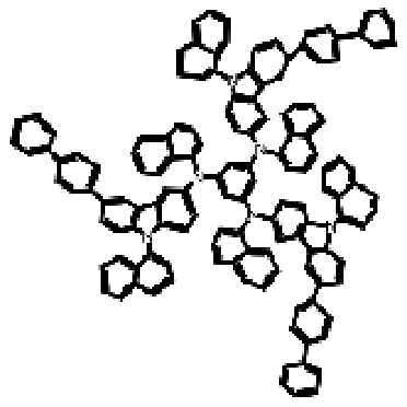 C1=CC2C(C=C1c1ccc(-c3ccccc3)cc1)c1cc(N(c3cc(N(c4ccc5c(c4)c4c(n5-c5cccc6ccccc56)C=CC(c5ccc(-c6ccccc6)cc5)C4)c4cccc5ccccc45)cc(N(c4ccc5c(c4)c4cc(-c6ccc(-c7ccccc7)cc6)ccc4n5-c4cccc5ccccc45)c4cccc5ccccc45)c3)c3cccc4ccccc34)ccc1N2c1cccc2ccccc12